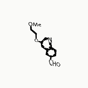 COCCOc1cnc2ccc(C=O)cc2c1